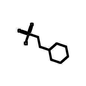 O=S(=O)(Cl)CCC1CCCCC1